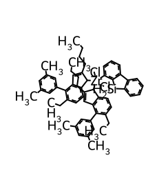 CCCCC1=Cc2c(ccc(CC)c2-c2cc(C)cc(C)c2)[CH]1[Zr]([Cl])([Cl])([c]1cccc2c1[SiH2]c1ccccc1-2)[CH]1C(CCCC)=Cc2c1ccc(CC)c2-c1cc(C)cc(C)c1